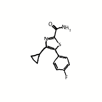 NC(=O)c1nc(C2CC2)c(-c2ccc(F)cc2)s1